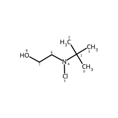 CC(C)(C)N(Cl)CCO